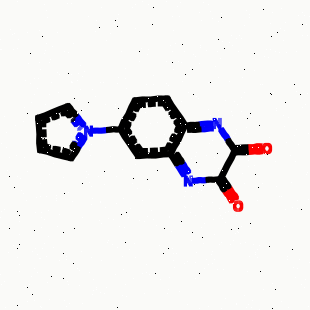 O=C1N=c2ccc(-n3cccc3)cc2=NC1=O